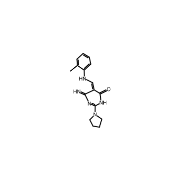 Cc1ccccc1N/C=C1\C(=N)N=C(N2CCCC2)NC1=O